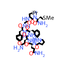 CSCC[C@H](NC(=O)C(CC(C)C)NC(=O)CNC(=O)[C@H](Cc1ccccc1)NC(=O)[C@H](Cc1ccccc1)NC(=O)[C@H](CCC(N)=O)NC(=O)[C@H](CCC(N)=O)NC(=O)C1CCCN1)C(N)=O